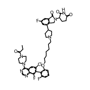 CCC(=O)N1CCN(c2ncnc3c(F)c(-c4c(F)cccc4OCCCCCCCN4CCC(c5cc(F)cc6c5CN(C5CCC(=O)NC5=O)C6=O)CC4)c(Cl)cc23)CC1